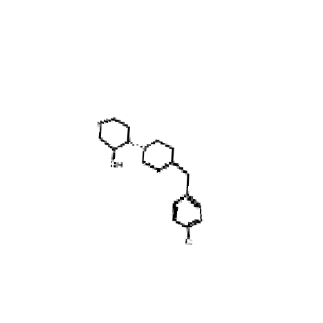 O[C@H]1CCCC[C@@H]1N1CCC(Cc2ccc(Cl)cc2)CC1